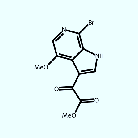 COC(=O)C(=O)c1c[nH]c2c(Br)ncc(OC)c12